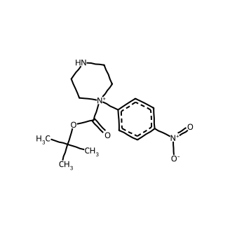 CC(C)(C)OC(=O)[N+]1(c2ccc([N+](=O)[O-])cc2)CCNCC1